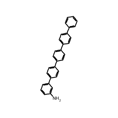 Nc1cccc(-c2ccc(-c3ccc(-c4ccc(-c5ccccc5)cc4)cc3)cc2)c1